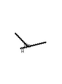 CCCCCCCCCCCCCCCCOCC(CNCCNCC)OCCCCCCCCCCCCCCCC